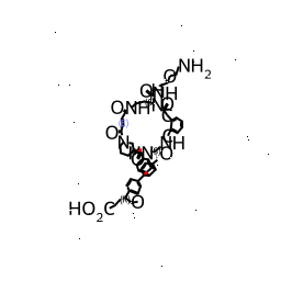 NCCOCCNC(=O)[C@@H]1CCNC(=O)/C=C/C(=O)N2CCC[C@](Cc3ccccc3)(C2)C(=O)N[C@@H](Cc2ccc(-c3ccc4c(c3)OC[C@@H]4CCC(=O)O)cc2)C(=O)NCc2ccccc2CC(=O)N1